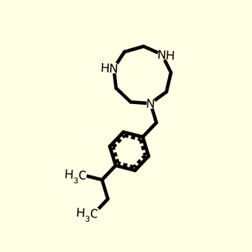 CCC(C)c1ccc(CN2CCNCCNCC2)cc1